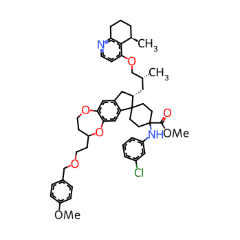 COC(=O)C1(Nc2cccc(Cl)c2)CCC2(CC1)c1cc3c(cc1C[C@@H]2C[C@@H](C)COc1ccnc2c1[C@H](C)CCC2)OCCC(CCOCc1ccc(OC)cc1)O3